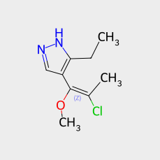 CCc1[nH]ncc1/C(OC)=C(\C)Cl